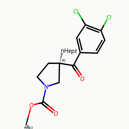 CCCCCCC[C@@]1(C(=O)c2ccc(Cl)c(Cl)c2)CCN(C(=O)OC(C)(C)C)C1